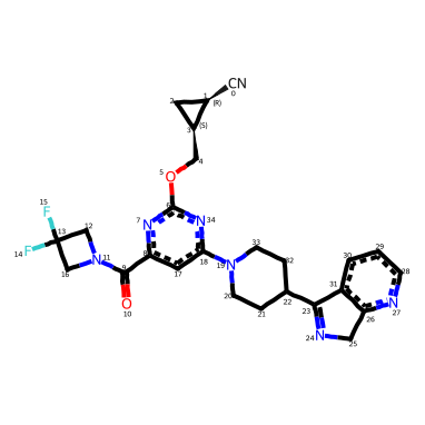 N#C[C@@H]1C[C@@H]1COc1nc(C(=O)N2CC(F)(F)C2)cc(N2CCC(C3=NCc4ncccc43)CC2)n1